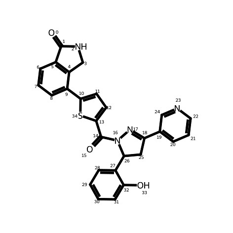 O=C1NCc2c1cccc2-c1ccc(C(=O)N2N=C(c3cccnc3)CC2c2ccccc2O)s1